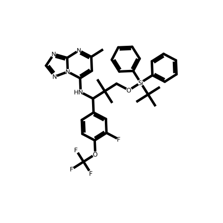 Cc1cc(NC(c2ccc(OC(F)(F)F)c(F)c2)C(C)(C)CO[Si](c2ccccc2)(c2ccccc2)C(C)(C)C)n2ncnc2n1